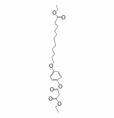 CCOC(=O)CCCCCCCCCCOc1ccc(OC(=O)CC(=O)OCC)cc1